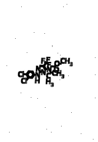 CCOC(=O)CN(c1nc(Nc2ccc(Cl)c(Cl)c2)ncc1C(F)(F)F)C(C)C